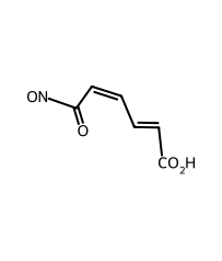 O=NC(=O)/C=C\C=C\C(=O)O